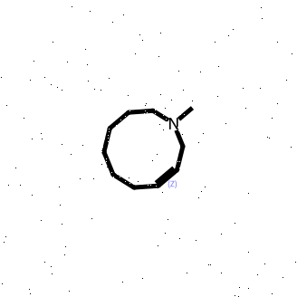 CN1C/C=C\CCCCCC1